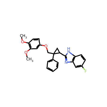 COc1ccc(OCC2(c3ccccc3)CC2c2nc3cc(F)ccc3[nH]2)cc1OC